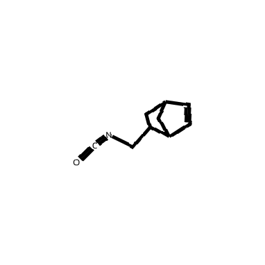 O=C=NCC1CC2C=CC1C2